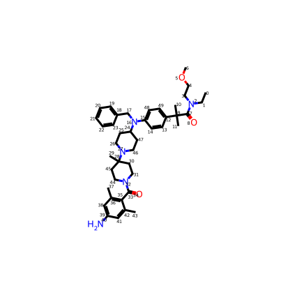 CCN(CCOC)C(=O)C(C)(C)c1ccc(N(Cc2ccccc2)C2CCN(C3(C)CCN(C(=O)c4c(C)cc(N)cc4C)CC3)CC2)cc1